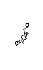 FC1(CNC2CC2c2ccccc2)CCN(C(=S)NCc2ccccc2)CC1